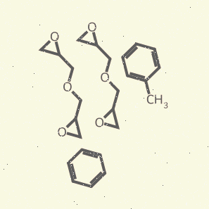 C(OCC1CO1)C1CO1.C(OCC1CO1)C1CO1.Cc1ccccc1.c1ccccc1